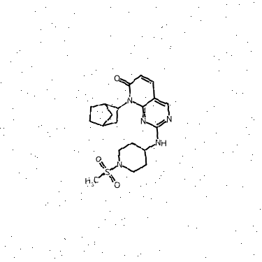 CS(=O)(=O)N1CCC(Nc2ncc3ccc(=O)n(C4CC5CCC4C5)c3n2)CC1